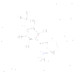 [2H]c1c([2H])c([C@@H](CN(C)C)C2(O)CCCCC2)c([2H])c([2H])c1OC([2H])([2H])[2H]